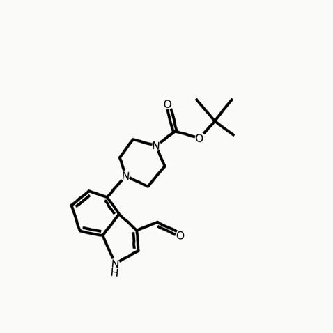 CC(C)(C)OC(=O)N1CCN(c2cccc3[nH]cc(C=O)c23)CC1